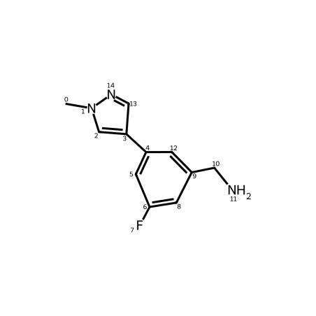 Cn1cc(-c2cc(F)cc(CN)c2)cn1